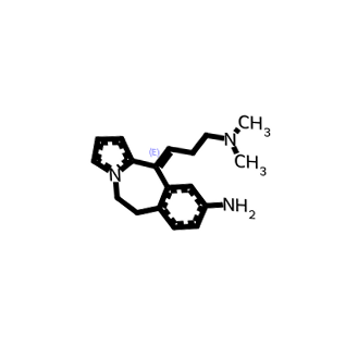 CN(C)CC/C=C1\c2cc(N)ccc2CCn2cccc21